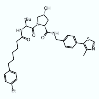 CCc1ccc(CCCCCC(=O)N[C@H](C(=O)N2C[C@H](O)C[C@H]2C(=O)NCc2ccc(-c3scnc3C)cc2)C(C)(C)C)cc1